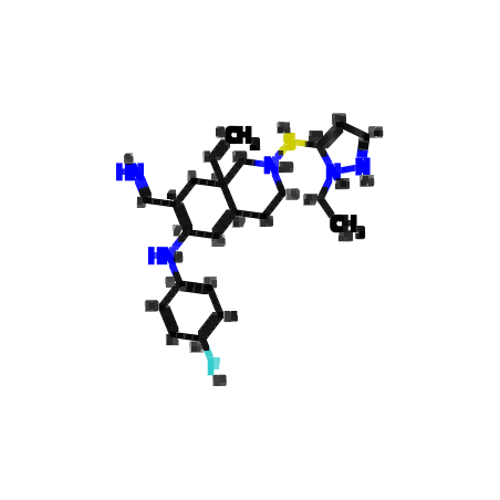 C=CC12CC(C=N)=C(Nc3ccc(F)cc3)C=C1CCN(Sc1ccnn1CC)C2